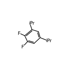 CC(C)c1cc(F)c(F)c(C(C)C)c1